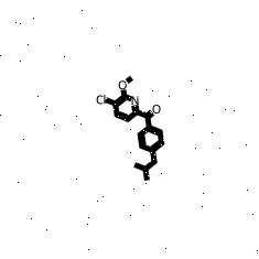 COc1nc(C(=O)c2ccc(CC(C)C)cc2)ccc1Cl